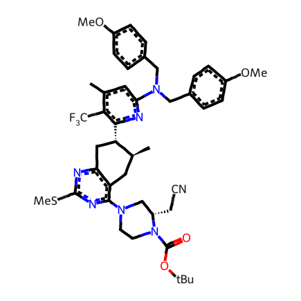 COc1ccc(CN(Cc2ccc(OC)cc2)c2cc(C)c(C(F)(F)F)c([C@H]3Cc4nc(SC)nc(N5CCN(C(=O)OC(C)(C)C)[C@@H](CC#N)C5)c4C[C@@H]3C)n2)cc1